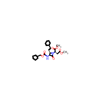 COC(=O)C[C@H](C(=O)OC)N1C(=O)[C@@H](NC(=O)OCc2ccccc2)[C@H]1C=Cc1ccccc1